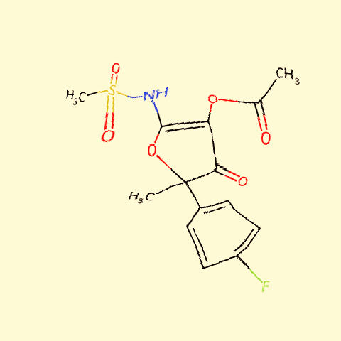 CC(=O)OC1=C(NS(C)(=O)=O)OC(C)(c2ccc(F)cc2)C1=O